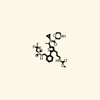 COC(=O)NCCCc1cc([C@@H](C)N(C(=O)[C@H]2CNCCO2)C2CC2)sc1-c1ccccc1CNS(=O)(=O)CC(F)(F)F